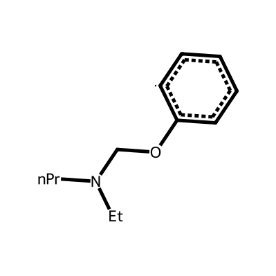 CCCN(CC)COc1[c]cccc1